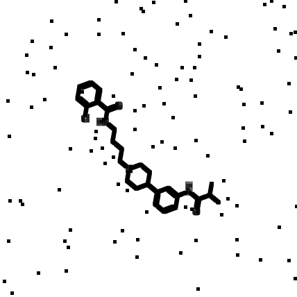 CC(C)C(=O)Nc1cccc(C2CCN(CCCCNC(=O)c3ccccc3Cl)CC2)c1